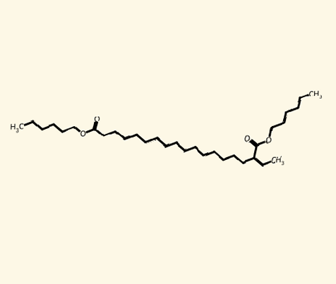 CCCCCCOC(=O)CCCCCCCCCCCCCCCC(CC)C(=O)OCCCCCC